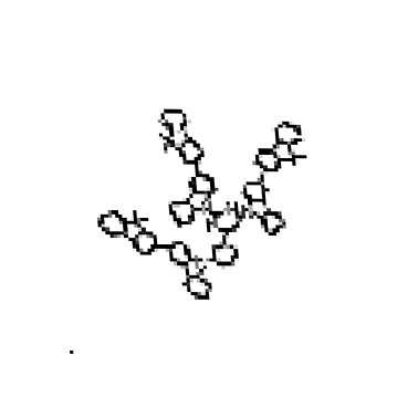 CC1(C)c2ccccc2-c2ccc(-c3ccc4c(c3)c3ccccc3n4-c3cccc(-c4cc(-n5c6ccccc6c6cc(-c7ccc8c(c7)C(C)(C)c7ccccc7-8)ccc65)nc(-n5c6ccccc6c6cc(-c7ccc8c(c7)C(C)(C)c7ccccc7-8)ccc65)n4)c3)cc21